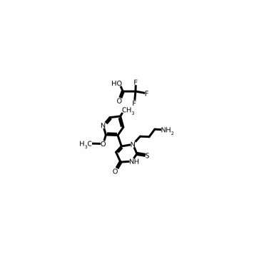 COc1ncc(C)cc1-c1cc(=O)[nH]c(=S)n1CCCN.O=C(O)C(F)(F)F